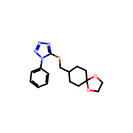 c1ccc(-n2nnnc2SCC2CCC3(CC2)OCCO3)cc1